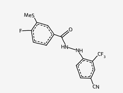 CSc1cc(C(=O)NNc2ccc(C#N)cc2C(F)(F)F)ccc1F